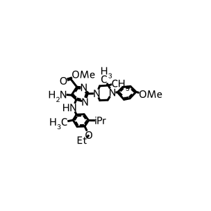 CCOc1cc(C)c(Nc2nc(N3CCN(c4ccc(OC)cc4)C(C)(C)C3)nc(C(=O)OC)c2N)cc1C(C)C